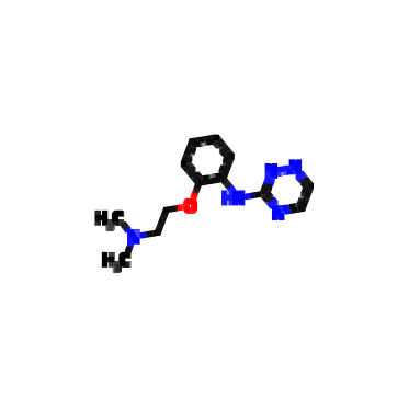 CN(C)CCOc1ccccc1Nc1nccnn1